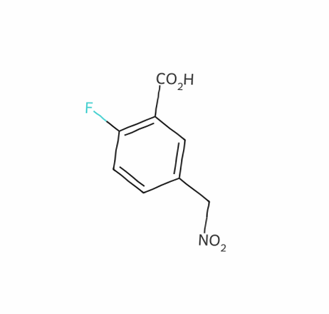 O=C(O)c1cc(C[N+](=O)[O-])ccc1F